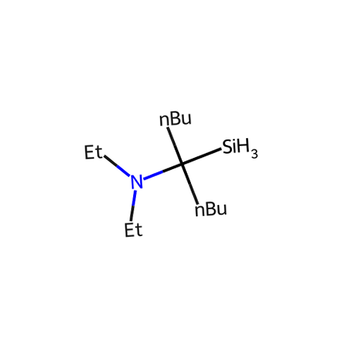 CCCCC([SiH3])(CCCC)N(CC)CC